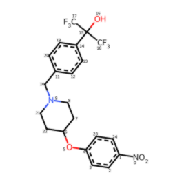 O=[N+]([O-])c1ccc(OC2CCN(Cc3ccc(C(O)(C(F)(F)F)C(F)(F)F)cc3)CC2)cc1